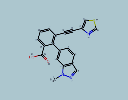 Cn1ncc2ccc(-c3c(C#Cc4cscn4)cccc3C(=O)O)cc21